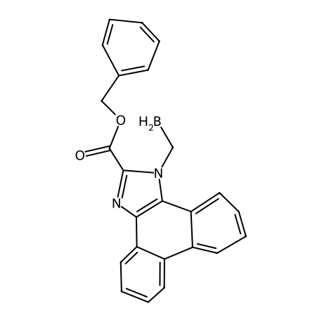 BCn1c(C(=O)OCc2ccccc2)nc2c3ccccc3c3ccccc3c21